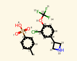 Cc1ccc(S(=O)(=O)O)cc1.FC(F)(F)Oc1ccc(C2CNC2)cc1Cl